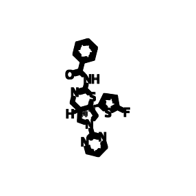 O=C(NC1=NC[C@H]2CN(c3ncccn3)C[C@]2(c2ccc(F)s2)S1)c1ccccc1